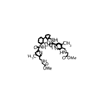 COC(=O)CNCc1cnc(C(=O)Nc2cccc(-c3cccc(NC(=O)c4cc(C)c(CNCC(=O)OC)cn4)c3C)c2C)cc1C